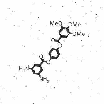 COc1cc(C(=O)Oc2ccc(OC(=O)c3cc(N)cc(N)c3)cc2)cc(OC)c1OC